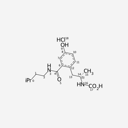 CC(C)CCNC(=O)c1cc(O)ccc1C[C@H](C)NC(=O)O.Cl